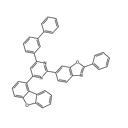 c1ccc(-c2cccc(-c3cc(-c4cccc5oc6ccccc6c45)nc(-c4ccc5nc(-c6ccccc6)oc5c4)n3)c2)cc1